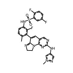 Cc1ccc(NS(=O)(=O)c2cc(F)ccc2F)c(F)c1C1=Cc2cnc(Nc3cnn(C)c3)nc2N2CCN=C12